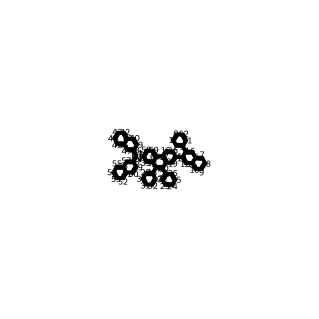 c1ccc(-c2cc3ccccc3cc2-c2ccc3c(c2)c(-c2ccccc2)c(-c2ccccc2)c2cc(N(c4ccc5ccccc5c4)c4ccc5ccccc5c4)ccc23)cc1